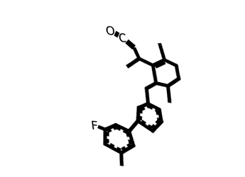 CC1=C(C(C)C=C=O)C(Cc2cccc(-c3cc(C)cc(F)c3)c2)C(C)CC1